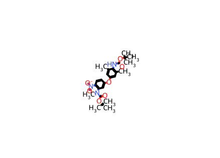 Cc1cc(Oc2ccc([N+](=O)[O-])c(N(C)C(=O)OC(C)(C)C)c2)cc(C)c1NC(=O)OC(C)(C)C